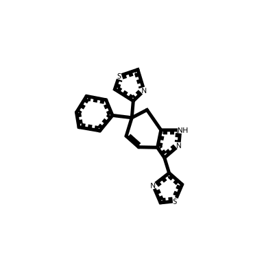 C1=CC(c2ccccc2)(c2cscn2)Cc2[nH]nc(-c3cscn3)c21